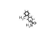 Cc1ccccc1C1CCN(C(N)=O)CC1